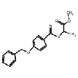 COC(=O)C(C)OC(=O)c1ccc(OCc2ccccc2)cc1